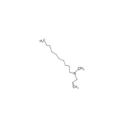 C=CCN(C)CCCCCCCCCC